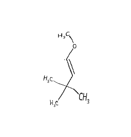 CO[C]=CC(C)(C)C